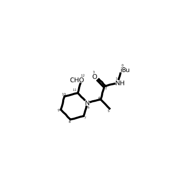 CCC(C)NC(=O)C(C)N1CCCCC1C=O